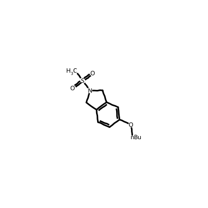 CCCCOc1ccc2c(c1)CN(S(C)(=O)=O)C2